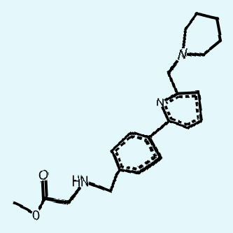 COC(=O)CNCc1ccc(-c2cccc(CN3CCCCC3)n2)cc1